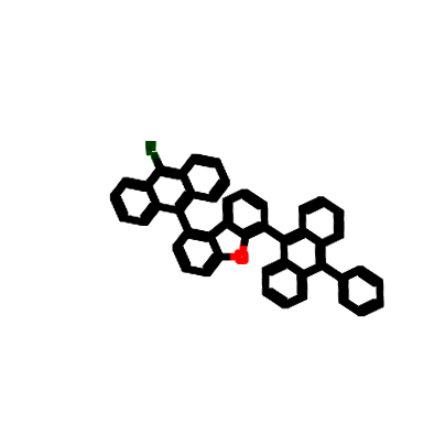 Fc1c2ccccc2c(-c2cccc3oc4c(-c5c6ccccc6c(-c6ccccc6)c6ccccc56)cccc4c23)c2ccccc12